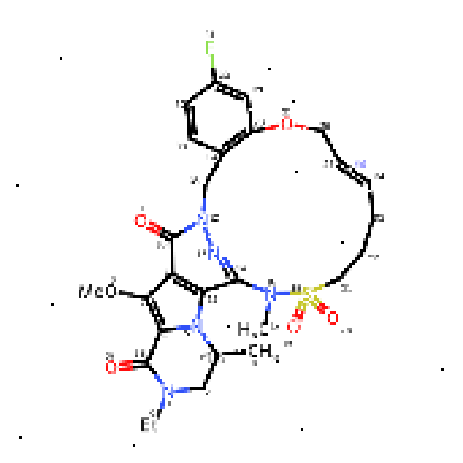 CCN1C[C@H](C)n2c(c(OC)c3c(=O)n4nc(c32)N(C)S(=O)(=O)CCC/C=C/COc2cc(F)ccc2C4)C1=O